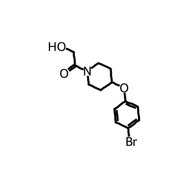 O=C(CO)N1CCC(Oc2ccc(Br)cc2)CC1